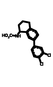 O=C(O)NC1CCCc2ccc(-c3ccc(Cl)c(Cl)c3)cc21